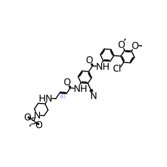 COc1ccc(Cl)c(-c2cccc(NC(=O)c3ccc(NC(=O)/C=C/CNC4CCN(S(C)(=O)=O)CC4)c(C#N)c3)c2)c1OC